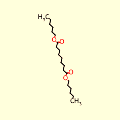 CCCCCCOC(=O)CCCCCCCC(=O)OCCCCCC